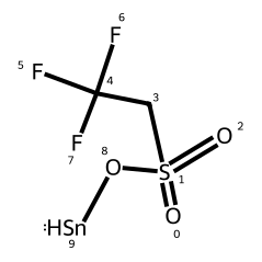 O=S(=O)(CC(F)(F)F)[O][SnH]